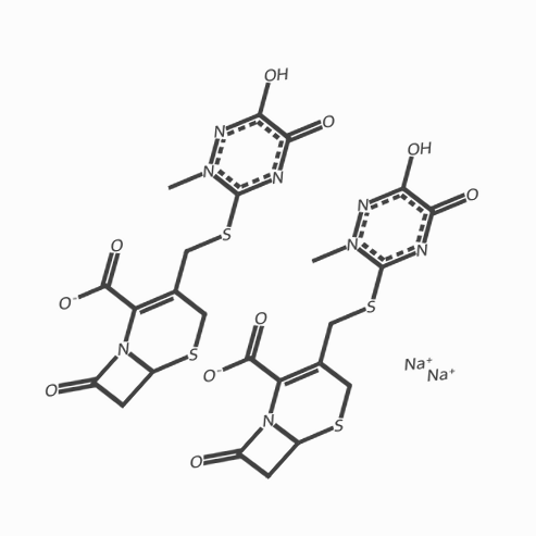 Cn1nc(O)c(=O)nc1SCC1=C(C(=O)[O-])N2C(=O)CC2SC1.Cn1nc(O)c(=O)nc1SCC1=C(C(=O)[O-])N2C(=O)CC2SC1.[Na+].[Na+]